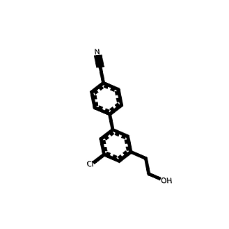 N#Cc1ccc(-c2cc(Cl)cc(CCO)c2)cc1